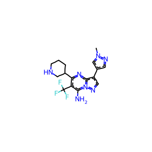 Cn1cc(-c2cnn3c(N)c(C(F)(F)F)c(C4CCCNC4)nc23)cn1